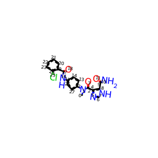 CN(C(=O)c1nc[nH]c1C(N)=O)c1ccc(NC(=O)c2ccccc2Cl)cc1